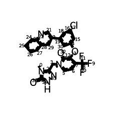 Cn1c(Cn2ccc(C(F)(F)F)c(Oc3cc(Cl)cc(-c4cnc5ccccc5c4)c3)c2=O)n[nH]c1=O